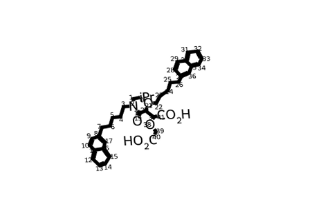 CC(C)CN(CCCCCc1ccc2ccccc2c1)C(=O)C(OCCCCCc1ccc2ccccc2c1)C(OCC(=O)O)C(=O)O